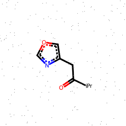 CC(C)C(=O)Cc1cocn1